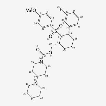 COc1ccc(S(=O)(=O)N2[C@@H](COC(=O)N3CCC(N4CCCCC4)CC3)CCC[C@H]2c2cccc(F)c2)cc1